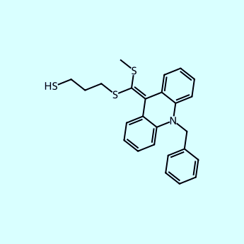 CSC(SCCCS)=C1c2ccccc2N(Cc2ccccc2)c2ccccc21